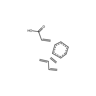 C=C.C=CC(=O)O.C=CC=C.c1ccccc1